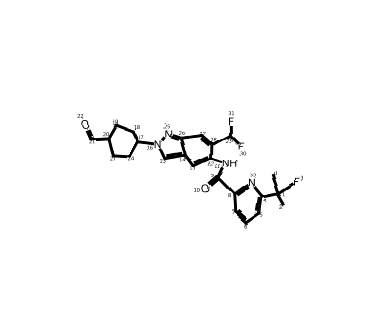 CC(C)(F)c1cccc(C(=O)Nc2cc3cn(C4CCC(C=O)CC4)nc3cc2C(F)F)n1